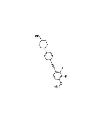 CCCCOc1ccc(C#Cc2ccc([C@H]3CC[C@H](CCC)CC3)cc2)c(F)c1F